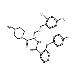 Cc1ccc(COC[C@@H](NC(=O)c2cccnc2Oc2ccc(Cl)cc2)C(=O)N2CCN(C)CC2)c(C)c1